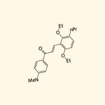 CCCc1ccc(OCC)c(/C=C/C(=O)c2ccc(NC)cc2)c1OCC